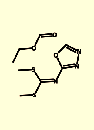 CCOC=O.CSC(=Nc1nnco1)SC